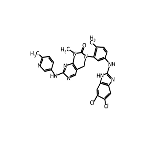 Cc1ccc(Nc2ncc3c(n2)N(C)C(=O)N(c2cc(Nc4nc5cc(Cl)c(Cl)cc5[nH]4)ccc2C)C3)cn1